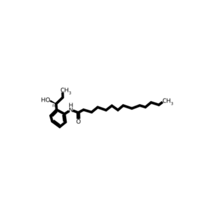 CCCCCCCCCCCCCC(=O)Nc1ccccc1[C@@H](O)CC